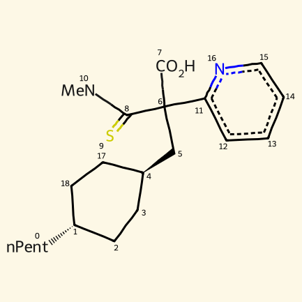 CCCCC[C@H]1CC[C@H](CC(C(=O)O)(C(=S)NC)c2ccccn2)CC1